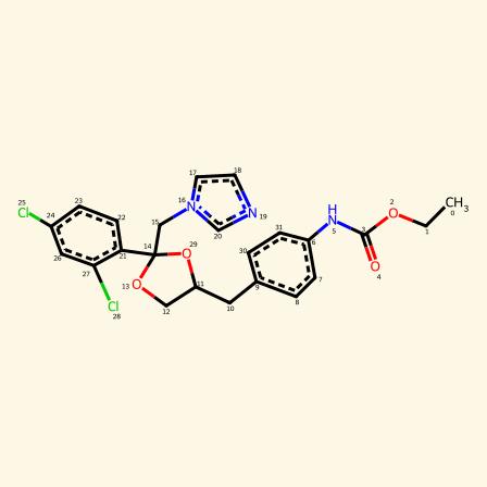 CCOC(=O)Nc1ccc(CC2COC(Cn3ccnc3)(c3ccc(Cl)cc3Cl)O2)cc1